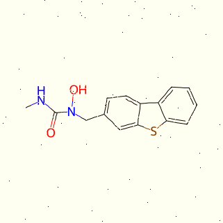 CNC(=O)N(O)Cc1ccc2c(c1)sc1ccccc12